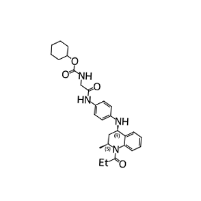 CCC(=O)N1c2ccccc2[C@H](Nc2ccc(NC(=O)CNC(=O)OC3CCCCC3)cc2)C[C@@H]1C